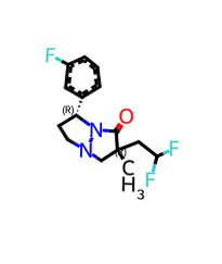 C[C@@]1(CC(F)F)CN2CC[C@H](c3cccc(F)c3)N2C1=O